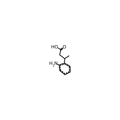 CC(CC(=O)O)c1ccccc1N